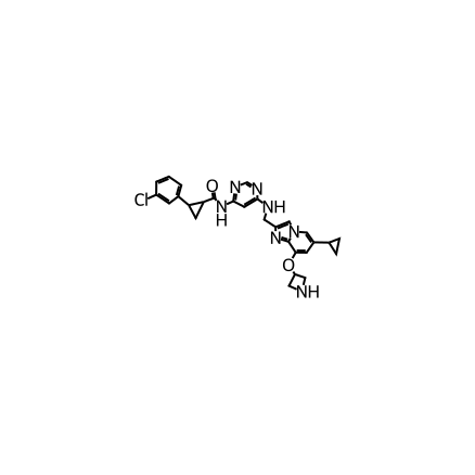 O=C(Nc1cc(NCc2cn3cc(C4CC4)cc(OC4CNC4)c3n2)ncn1)C1CC1c1cccc(Cl)c1